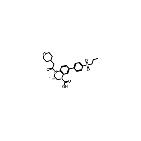 CCCS(=O)(=O)c1ccc(-c2ccc3c(c2)N(C(=O)O)C[C@H](C)N3C(=O)CC2CCOCC2)cc1